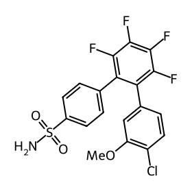 COc1cc(-c2c(F)c(F)c(F)c(F)c2-c2ccc(S(N)(=O)=O)cc2)ccc1Cl